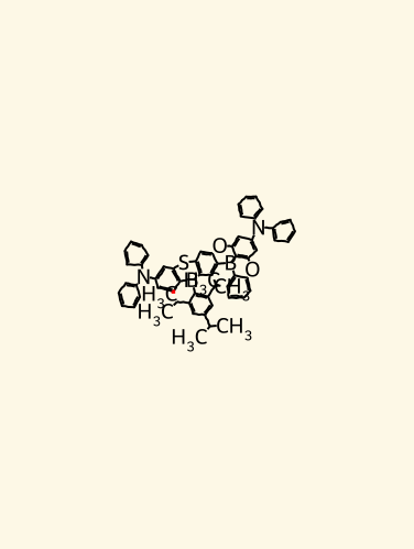 CC(C)c1cc(C(C)C)c(B2c3ccc(N(c4ccccc4)c4ccccc4)cc3Sc3cc4c(cc32)B2c3ccccc3Oc3cc(N(c5ccccc5)c5ccccc5)cc(c32)O4)c(C(C)C)c1